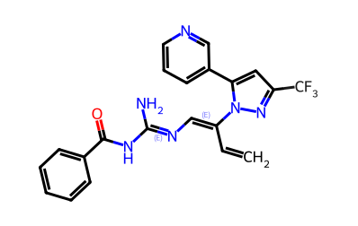 C=C/C(=C\N=C(/N)NC(=O)c1ccccc1)n1nc(C(F)(F)F)cc1-c1cccnc1